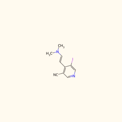 CN(C)/C=C/c1c(I)cncc1C#N